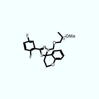 CO[C@@H](C)COCN1N=C(c2cc(F)ccc2F)SC12CCOc1ccccc12